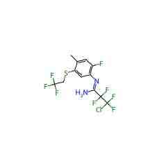 Cc1cc(F)c(/N=C(\N)C(F)(F)C(F)(F)Cl)cc1SCC(F)(F)F